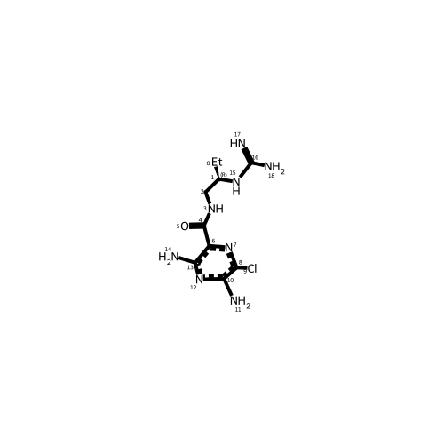 CC[C@H](CNC(=O)c1nc(Cl)c(N)nc1N)NC(=N)N